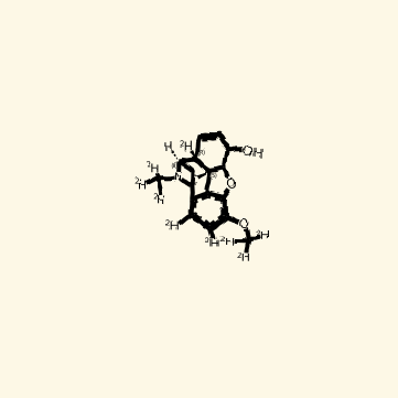 [2H]c1c([2H])c(OC([2H])([2H])[2H])c2c3c1C[C@H]1N(C([2H])([2H])[2H])CC[C@@]34C(O2)C(O)C=C[C@@]14[2H]